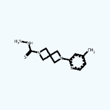 Cc1ccnc(N2CC3(CN(C(=S)NN)C3)C2)c1